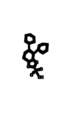 O=S(=O)(O)c1nc2c(-c3ccccc3)c(-c3ccccc3)ccc2o1